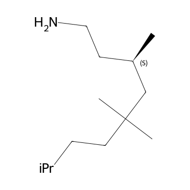 CC(C)CCC(C)(C)C[C@H](C)CCN